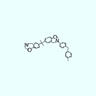 Cc1ccc(Cc2ccc(N3COc4ccc(C(C)(C)c5ccc6c(c5)CN(C)CO6)cc4C3)cc2)cc1